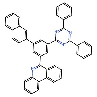 c1ccc(-c2nc(-c3ccccc3)nc(-c3cc(-c4ccc5ccccc5c4)cc(-c4nc5ccccc5c5ccccc45)c3)n2)cc1